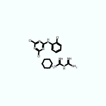 C1CCCCC1.Clc1nc(Cl)nc(Nc2ccccc2Cl)n1.N=C(N)NC(=N)N